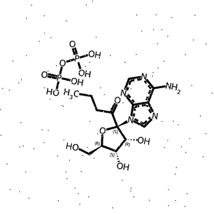 CCCC(=O)[C@@]1(n2cnc3c(N)ncnc32)O[C@H](CO)[C@@H](O)[C@H]1O.O=P(O)(O)OP(=O)(O)O